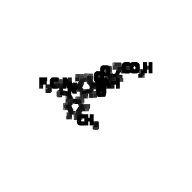 Cc1ccc(-c2cc(C(F)(F)F)nn2-c2ccc(S(=O)(=O)NC(=O)CCC(=O)O)cc2)cc1